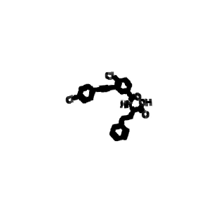 O=C(NC(CCc1ccccc1)C(=O)O)c1ccc(Cl)c(C#Cc2ccc(Cl)cc2)c1